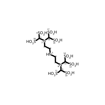 O=S(=O)(O)C(N(CCNCCN(C(S(=O)(=O)O)S(=O)(=O)O)C(S(=O)(=O)O)S(=O)(=O)O)C(S(=O)(=O)O)S(=O)(=O)O)S(=O)(=O)O